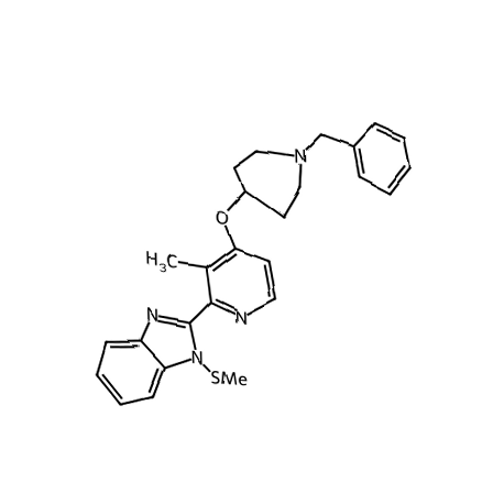 CSn1c(-c2nccc(OC3CCN(Cc4ccccc4)CC3)c2C)nc2ccccc21